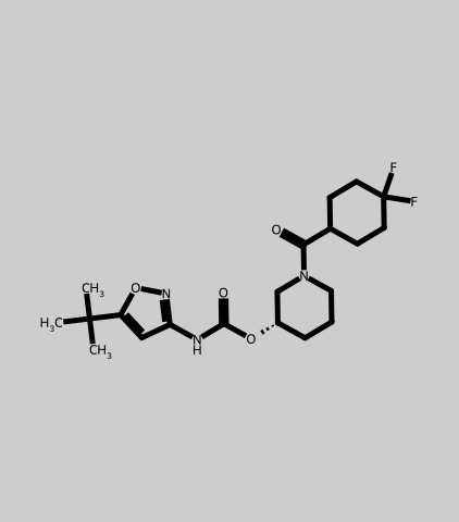 CC(C)(C)c1cc(NC(=O)O[C@H]2CCCN(C(=O)C3CCC(F)(F)CC3)C2)no1